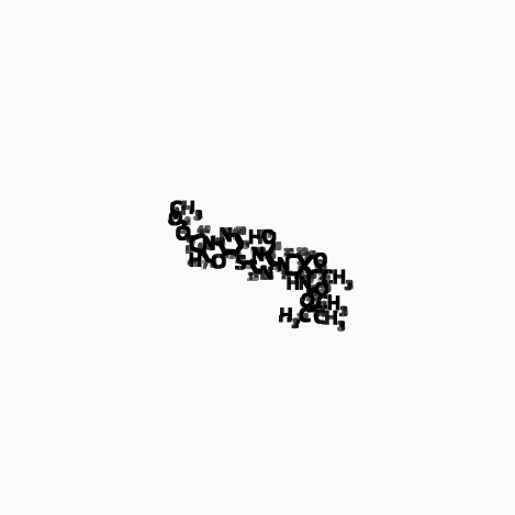 COCO[C@H]1C[C@H]2COc3c(Sc4cnc(N5CCC6(CC5)CO[C@@H](C)[C@H]6NC(=O)OC(C)(C)C)c(CO)n4)ccnc3N2C1